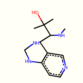 CNC(C1NCNc2ccncc21)C(C)(C)O